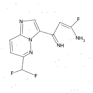 N=C(/C=C(\N)F)c1cnc2ccc(C(F)F)nn12